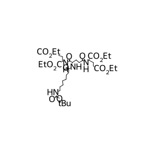 CCOC(=O)CCC(NC(=O)CCC(NC(=O)CCCCCCCNC(=O)OC(C)(C)C)C(=O)NC(CCC(=O)OCC)C(=O)OCC)C(=O)OCC